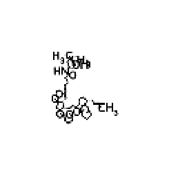 CCCC[C@H]1CC[C@H]([C@H](/C=C/[C@H]2[C@H](OC3CCCCO3)CC(=O)[C@@H]2CC(=O)CCCCC(=O)N[C@H](CO)CC(C)C)OC2CCCCO2)C1